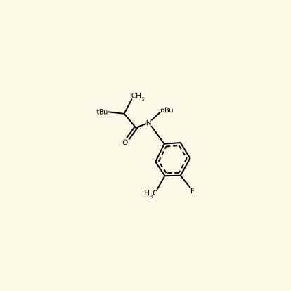 CCCCN(C(=O)C(C)C(C)(C)C)c1ccc(F)c(C)c1